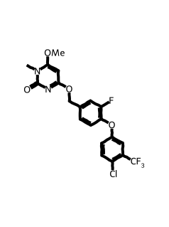 COc1cc(OCc2ccc(Oc3ccc(Cl)c(C(F)(F)F)c3)c(F)c2)nc(=O)n1C